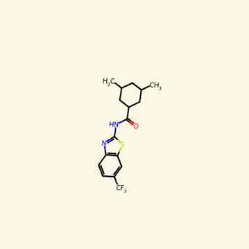 CC1CC(C)CC(C(=O)Nc2nc3ccc(C(F)(F)F)cc3s2)C1